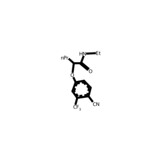 CCCC(Oc1ccc(C#N)c(C(F)(F)F)c1)C(=O)NCC